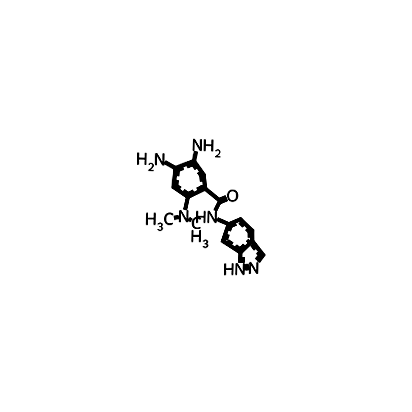 CN(C)c1cc(N)c(N)cc1C(=O)Nc1ccc2cn[nH]c2c1